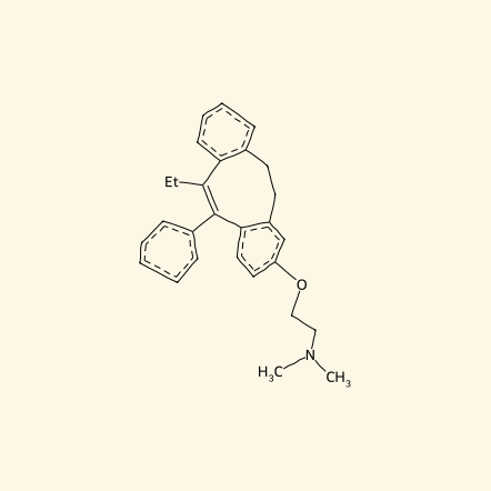 CCC1=C(c2ccccc2)c2ccc(OCCN(C)C)cc2CCc2ccccc21